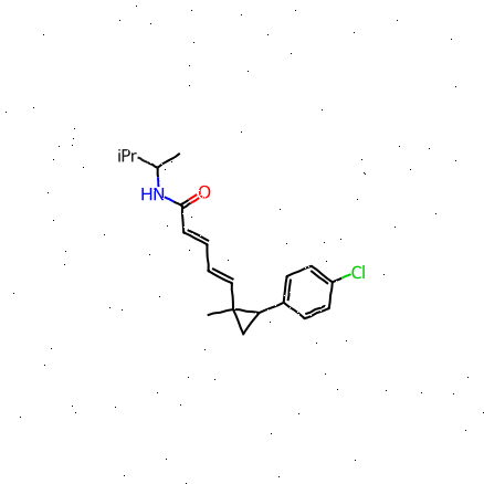 CC(C)C(C)NC(=O)C=CC=CC1(C)CC1c1ccc(Cl)cc1